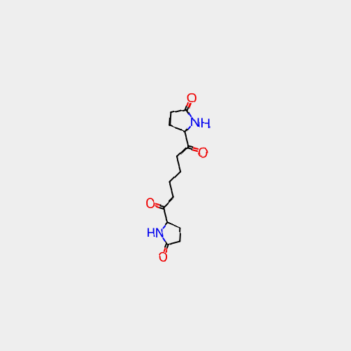 O=C1CCC(C(=O)CCCCC(=O)C2CCC(=O)N2)N1